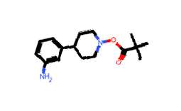 CC(C)(C)C(=O)ON1CCC(c2cccc(N)c2)CC1